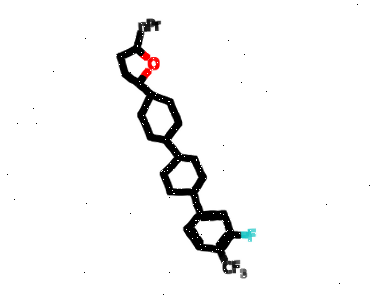 CCCC1CCC(C2CCC(C3CCC(c4ccc(C(F)(F)F)c(F)c4)CC3)CC2)O1